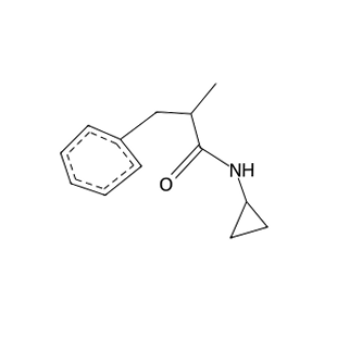 CC(Cc1ccccc1)C(=O)NC1CC1